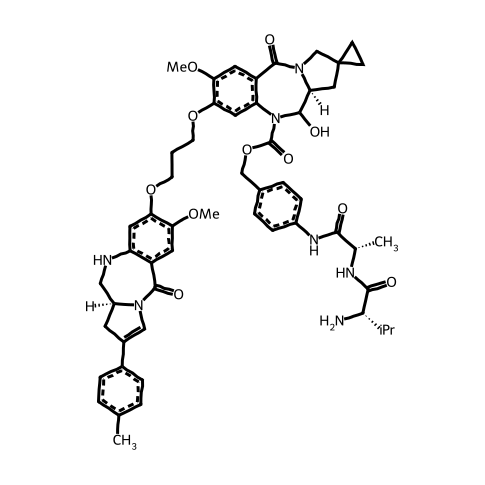 COc1cc2c(cc1OCCCOc1cc3c(cc1OC)C(=O)N1CC4(CC4)C[C@H]1C(O)N3C(=O)OCc1ccc(NC(=O)[C@H](C)NC(=O)[C@@H](N)C(C)C)cc1)NC[C@@H]1CC(c3ccc(C)cc3)=CN1C2=O